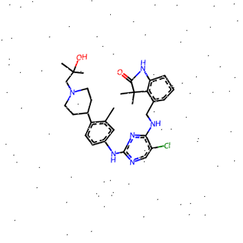 Cc1cc(Nc2ncc(Cl)c(NCc3cccc4c3C(C)(C)C(=O)N4)n2)ccc1C1CCN(CC(C)(C)O)CC1